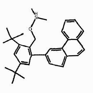 C[SiH](C)OCc1c(-c2ccc3ccc4ccccc4c3c2)cc(C(C)(C)C)cc1C(C)(C)C